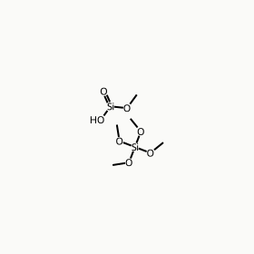 CO[Si](=O)O.CO[Si](OC)(OC)OC